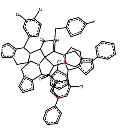 O=C(NCc1ccc(F)cc1)C(N1CCn2cccc2C1c1ccc(Cl)c(Cl)c1)C(C(=O)N1CCN(Cc2ccccc2)CC1)(C(C(=O)NCCc1ccccc1)N1CCn2cccc2C1c1ccccc1Cl)N1CCn2cccc2C1c1ccccc1Cl